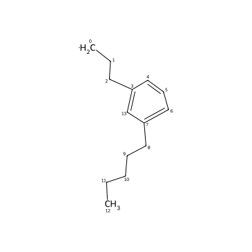 [CH2]CCc1cccc(CCCCC)c1